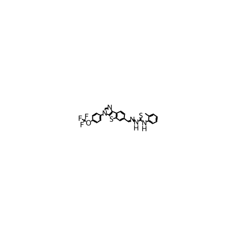 Cc1ccccc1NC(=S)N/N=C/c1ccc2c(c1)sc1c2ncn1-c1ccc(OC(F)(F)F)cc1